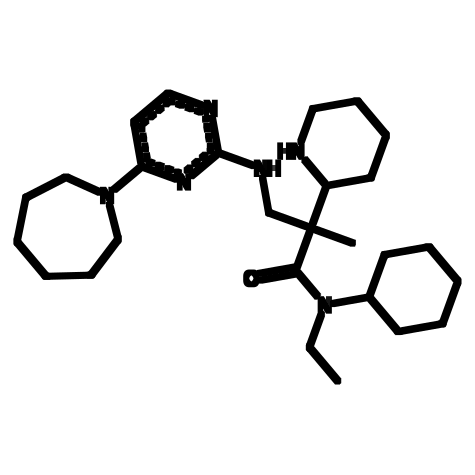 CCN(C(=O)C(C)(CNc1nccc(N2CCCCCC2)n1)C1CCCCN1)C1CCCCC1